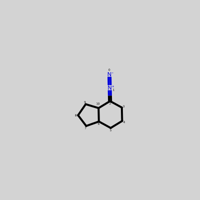 [N-]=[N+]=C1CCCC2CCCC12